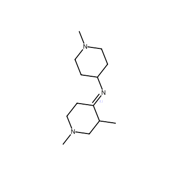 CC1CN(C)CC/C1=N\C1CCN(C)CC1